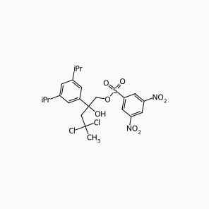 CC(C)c1cc(C(C)C)cc(C(O)(COS(=O)(=O)c2cc([N+](=O)[O-])cc([N+](=O)[O-])c2)CC(C)(Cl)Cl)c1